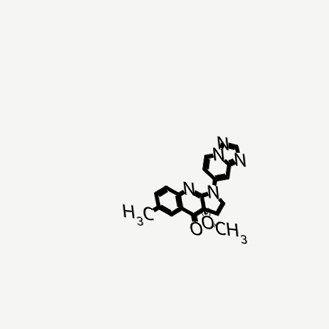 CO[C@@]12CCN(c3ccn4ncnc4c3)C1=Nc1ccc(C)cc1C2=O